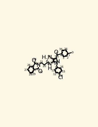 Cc1ccc(C(=O)c2nn(-c3ccc(Cl)cc3)c(NCCCN3C(=O)c4ccccc4C3=O)c2N)cc1